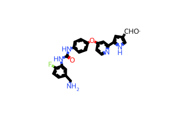 NCc1ccc(F)c(NC(=O)Nc2ccc(Oc3ccnc(-c4cc([C]=O)c[nH]4)c3)cc2)c1